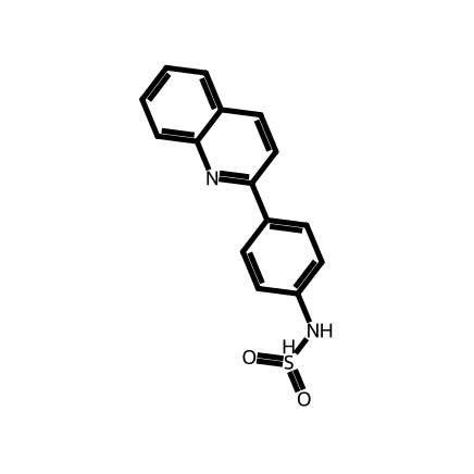 O=[SH](=O)Nc1ccc(-c2ccc3ccccc3n2)cc1